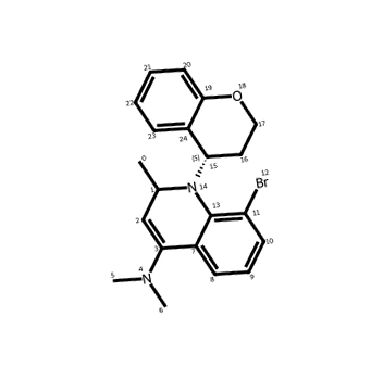 CC1C=C(N(C)C)c2cccc(Br)c2N1[C@H]1CCOc2ccccc21